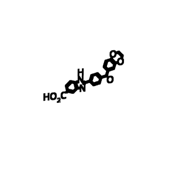 O=C(O)c1ccc2[nH]c(-c3ccc(C(=O)c4ccc5c(c4)OCCO5)cc3)nc2c1